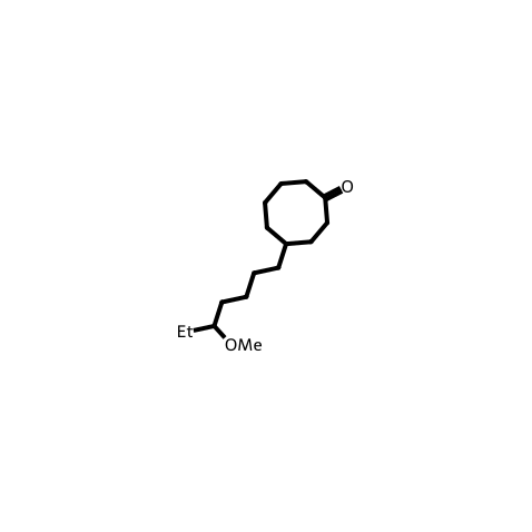 CCC(CCCCC1CCCCC(=O)CC1)OC